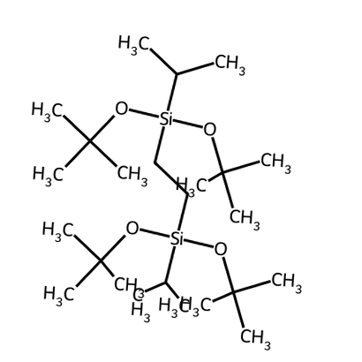 CC(C)[Si](CC[Si](OC(C)(C)C)(OC(C)(C)C)C(C)C)(OC(C)(C)C)OC(C)(C)C